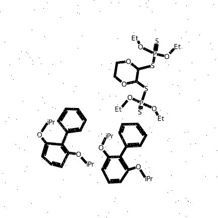 CC(C)Oc1cccc(OC(C)C)c1-c1ccccc1.CC(C)Oc1cccc(OC(C)C)c1-c1ccccc1.CCOP(=S)(OCC)SC1OCCOC1SP(=S)(OCC)OCC